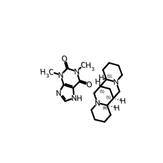 C1CCN2C[C@@H]3C[C@@H](CN4CCCC[C@@H]34)[C@H]2C1.Cn1c(=O)c2[nH]cnc2n(C)c1=O